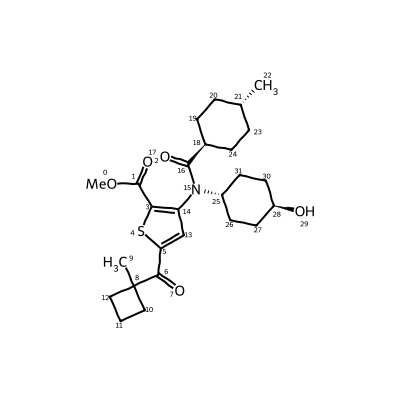 COC(=O)c1sc(C(=O)C2(C)CCC2)cc1N(C(=O)[C@H]1CC[C@H](C)CC1)[C@H]1CC[C@H](O)CC1